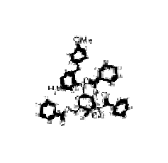 COc1ccc(Cc2ccc(N)cc2O[C@@H]2O[C@H](COC(=O)c3ccccc3)[C@@](C)(OC(C)=O)[C@H](OC(=O)c3ccccc3)[C@H]2OC(=O)c2ccccc2)cc1